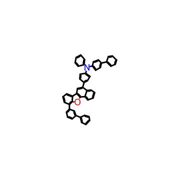 c1ccc(-c2ccc(N(c3ccccc3)c3ccc(-c4cc5c6cccc(-c7cccc(-c8ccccc8)c7)c6oc5c5ccccc45)cc3)cc2)cc1